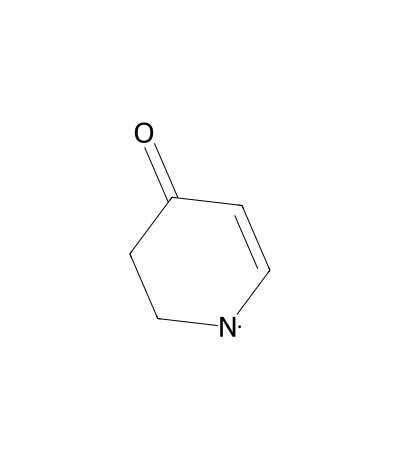 O=C1C=C[N]CC1